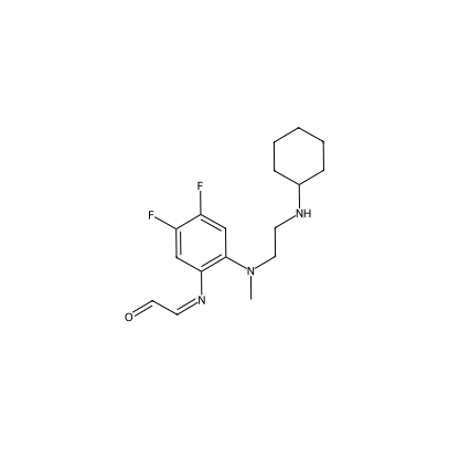 CN(CCNC1CCCCC1)c1cc(F)c(F)cc1/N=C\C=O